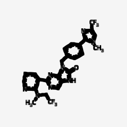 CN(CC(F)(F)F)c1ncccc1-c1ncc2[nH]c(=O)n(Cc3ccc(-c4nc(C(F)(F)F)cn4C)cc3)c2n1